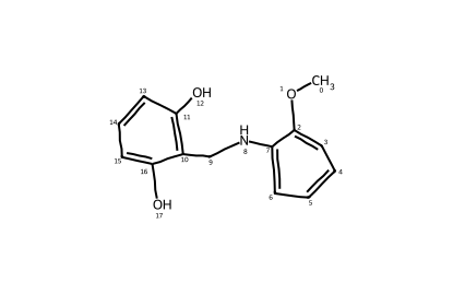 COc1ccccc1NCc1c(O)cccc1O